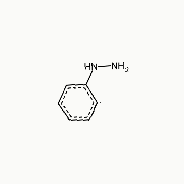 NNc1[c]cccc1